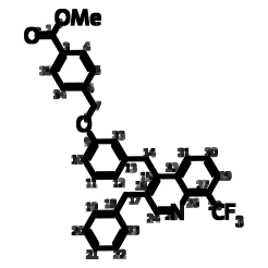 COC(=O)c1ccc(COc2cccc(Cc3c(Cc4ccccc4)cnc4c(C(F)(F)F)cccc34)c2)cc1